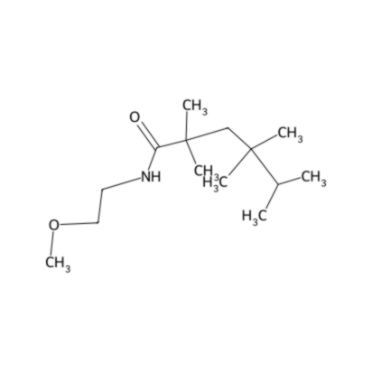 COCCNC(=O)C(C)(C)CC(C)(C)C(C)C